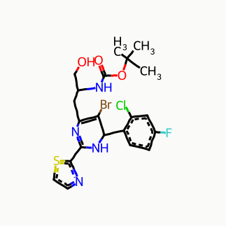 CC(C)(C)OC(=O)NC(CO)CC1=C(Br)C(c2ccc(F)cc2Cl)NC(c2nccs2)=N1